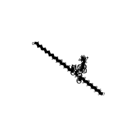 CCCCCCCCCCCCCCCCCCCC(=O)OC(COC(=O)CCCCCCCCCCC)COP(=O)(O)OCC[N+](C)(C)C